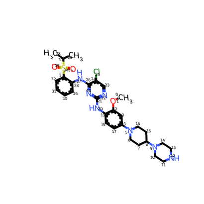 COc1cc(N2CCC(N3CCNCC3)CC2)ccc1Nc1ncc(Cl)c(Nc2ccccc2S(=O)(=O)C(C)C)n1